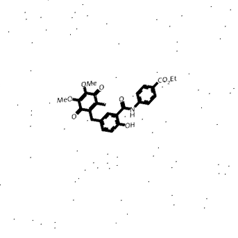 CCOC(=O)c1ccc(NC(=O)c2cc(CC3=C(C)C(=O)C(OC)=C(OC)C3=O)ccc2O)cc1